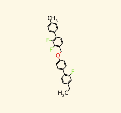 CCc1ccc(-c2ccc(OCc3ccc(-c4ccc(C)cc4)c(F)c3F)cc2)c(F)c1